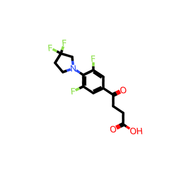 O=C(O)CCC(=O)c1cc(F)c(N2CCC(F)(F)C2)c(F)c1